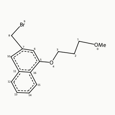 COCCCOc1cc(CBr)cc2ccccc12